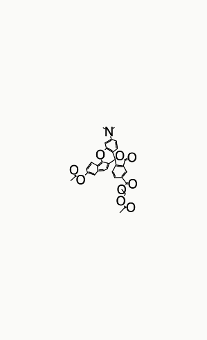 CC(=O)OCOC(=O)c1ccc2c(c1)C(=O)OC21c2ccc(N(C)C)cc2Oc2c1ccc1cc(OC(C)=O)ccc21